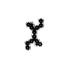 CC1(C)c2ccccc2-c2ccc(N(c3ccc(-c4ccc(N(c5ccc(-c6cccc(-c7ccccc7)c6)cc5)c5ccc6c(c5)C(C)(C)c5ccccc5-6)cc4)cc3)c3ccc(-c4cccc(-c5ccccc5)c4)cc3)cc21